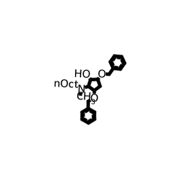 CCCCCCCCN(C)C1C(OCc2ccccc2)CC(OCc2ccccc2)C1O